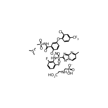 CS(=O)(=O)NC(=O)c1cc(Oc2ccc(C(F)(F)F)cc2Cl)ccc1[N+](=O)[O-].C[S+](C)C.Cc1ccn2nc(S(=O)(=O)Nc3c(F)cccc3F)nc2n1.O=C(O)CNCP(=O)([O-])O